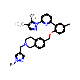 CCn1cc(CN2CCc3cc(COc4ccc(C)cc4-c4cccc(-n5ncc(C(=O)O)c5C(F)(F)F)n4)ccc3C2)cn1